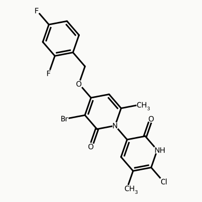 Cc1cc(-n2c(C)cc(OCc3ccc(F)cc3F)c(Br)c2=O)c(=O)[nH]c1Cl